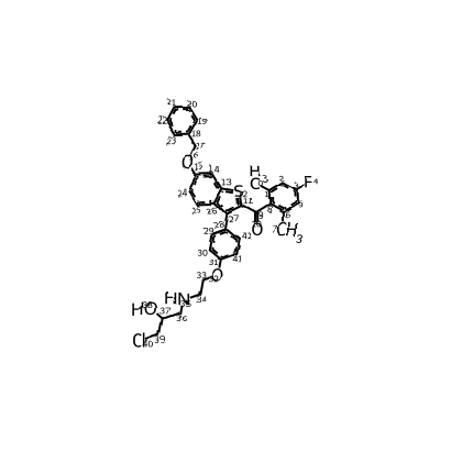 Cc1cc(F)cc(C)c1C(=O)c1sc2cc(OCc3ccccc3)ccc2c1-c1ccc(OCCNCC(O)CCl)cc1